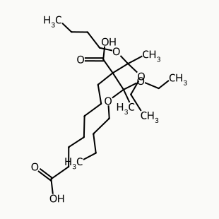 CCCCOC(C)(OCC)C(CCCCCCC(=O)O)(C(=O)O)C(C)(OCC)OCCCC